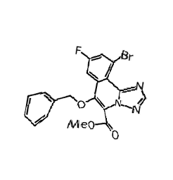 COC(=O)c1c(OCc2ccccc2)c2cc(F)cc(Br)c2c2ncnn12